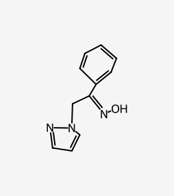 O/N=C(/Cn1cccn1)c1ccccc1